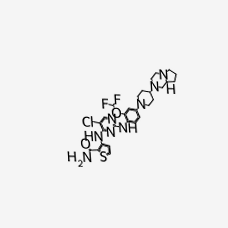 NC(=O)c1sccc1Nc1nc(Nc2ccc(N3CCC(N4CCN5CCC[C@@H]5C4)CC3)cc2OC(F)F)ncc1Cl